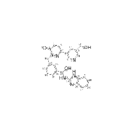 O=c1ccc(-c2cncc(CO)c2)nn1Cc1cccc(C(O)Nc2nc3ccccc3[nH]2)c1